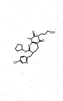 Cn1c2c(c(=O)n(CCCO)c1=O)CCC(Cc1ccc(Cl)cn1)C(OC1CCCC1)=N2